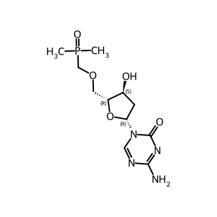 CP(C)(=O)COC[C@H]1O[C@@H](n2cnc(N)nc2=O)C[C@@H]1O